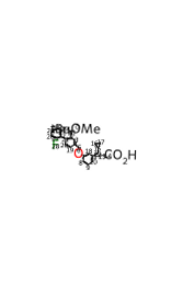 CO[C@@H](c1cc(COc2cccc([C@@H](CC(=O)O)C3CC3)c2)ccc1-c1ccccc1F)C(C)(C)C